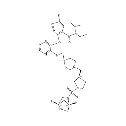 CC(C)N(C(=O)c1cc(F)ccc1Oc1nncnc1N1CC2(CCN(C[C@H]3CCN(S(=O)(=O)N4C[C@@H]5C[C@H]4CN5)C3)CC2)C1)C(C)C